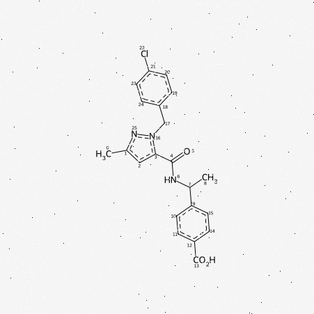 Cc1cc(C(=O)NC(C)c2ccc(C(=O)O)cc2)n(Cc2ccc(Cl)cc2)n1